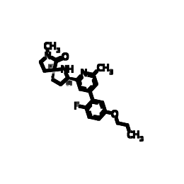 CCCOc1ccc(F)c(-c2cc(C)nc([C@H]3CC[C@@]4(CCN(C)C4=O)N3)c2)c1